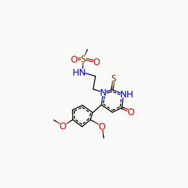 COc1ccc(-c2cc(=O)[nH]c(=S)n2CCNS(C)(=O)=O)c(OC)c1